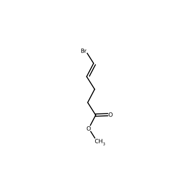 COC(=O)CC/C=C/Br